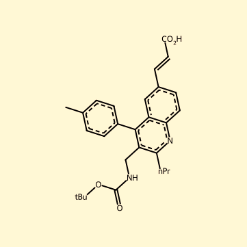 CCCc1nc2ccc(C=CC(=O)O)cc2c(-c2ccc(C)cc2)c1CNC(=O)OC(C)(C)C